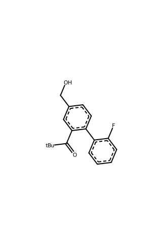 CC(C)(C)C(=O)c1cc(CO)ccc1-c1ccccc1F